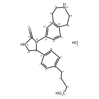 Cl.O=C(O)CCCc1ccc(C2CNC(=O)N2c2ccc3c(c2)CCNCC3)cc1